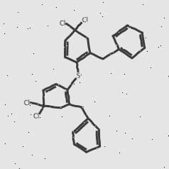 ClC1(Cl)C=CC(SC2=C(Cc3ccccc3)CC(Cl)(Cl)C=C2)=C(Cc2ccccc2)C1